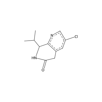 CC(C)C1NC(=O)Cc2cc(Cl)cnc21